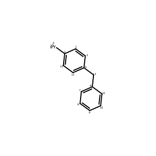 CC(C)c1ccc([CH]c2ccccc2)cc1